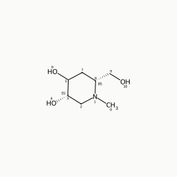 CN1C[C@H](O)C(O)C[C@@H]1CO